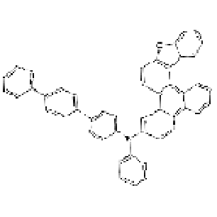 c1ccc(-c2ccc(-c3ccc(N(c4ccccc4)c4ccc5c6ccccc6c6c(ccc7oc8ccccc8c76)c5c4)cc3)cc2)cc1